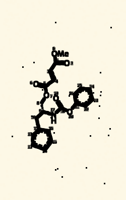 COC(=O)/C=C/C(=O)OC[C@@H](Cc1ccccc1)NC(=O)Oc1ccccc1